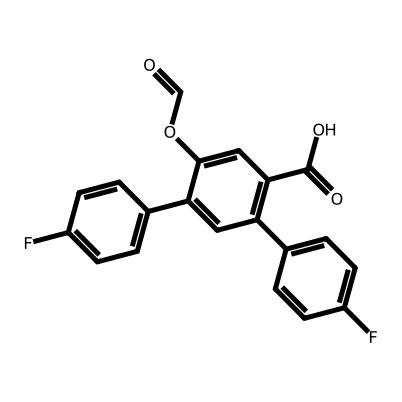 O=COc1cc(C(=O)O)c(-c2ccc(F)cc2)cc1-c1ccc(F)cc1